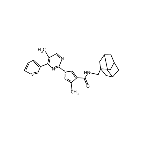 Cc1cnc(-n2cc(C(=O)NCC34CC5CC(CC(C5)C3)C4)c(C)n2)nc1-c1cccnc1